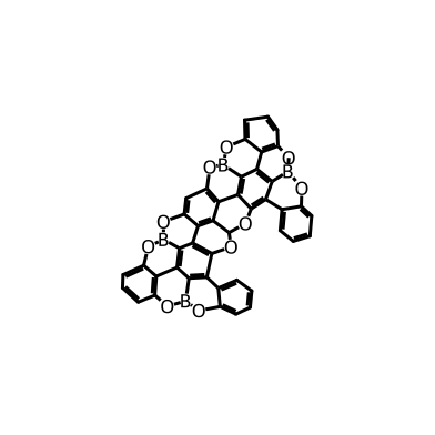 c1ccc2c(c1)OB1Oc3cccc4c3-c3c1c-2c1c2c3B(O4)Oc3cc4c5c(c3-2)C(O1)Oc1c2c3c6c(c1-5)B(Oc1cccc(c1-6)OB3Oc1ccccc1-2)O4